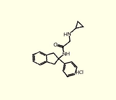 Cl.O=C(CNC1CC1)NC1(c2ccccc2)Cc2ccccc2C1